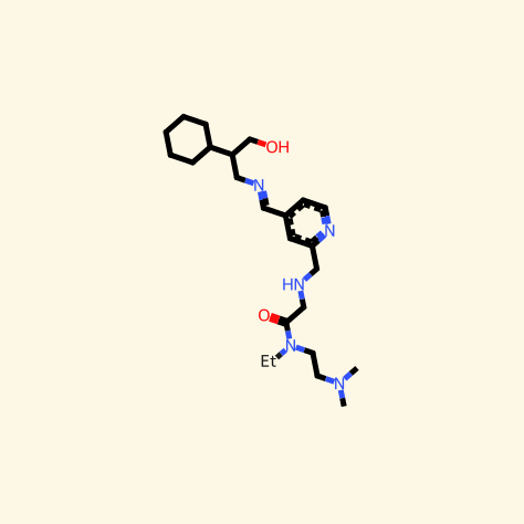 CCN(CCN(C)C)C(=O)CNCc1cc(/C=N/CC(CO)C2CCCCC2)ccn1